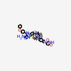 [2H]C1([2H])N(CC2CCC(n3nc(-c4ccc(Oc5ccccc5)cc4)c4c(N)ncnc43)C(F)C2)C([2H])([2H])C([2H])([2H])N(c2ccc3cn(C4CCC(=O)NC4=O)cc3c2)C1([2H])[2H]